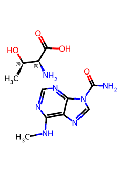 CNc1ncnc2c1ncn2C(N)=O.C[C@@H](O)[C@H](N)C(=O)O